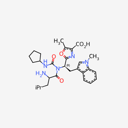 Cc1oc([C@@H](Cc2cn(C)c3ccccc23)N(C(=O)NC2CCCC2)C(=O)C(N)CC(C)C)nc1C(=O)O